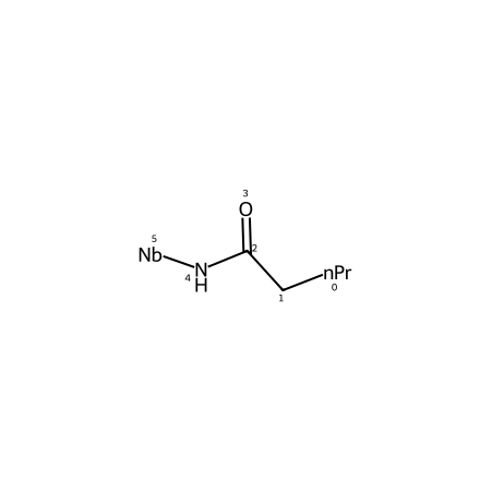 CCCCC(=O)[NH][Nb]